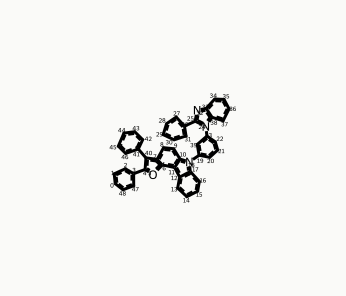 c1ccc(-c2oc3c(ccc4c3c3ccccc3n4-c3cccc(-n4c(-c5ccccc5)nc5ccccc54)c3)c2-c2ccccc2)cc1